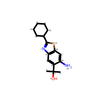 CC(C)(O)c1cc2nc(C3CCCCC3)sc2cc1N